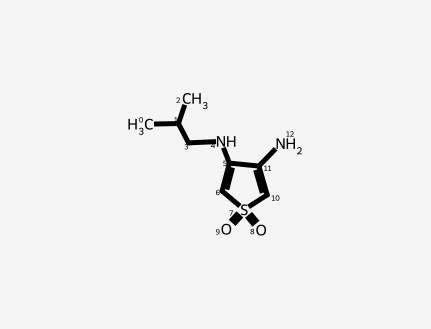 CC(C)CNC1=CS(=O)(=O)C=C1N